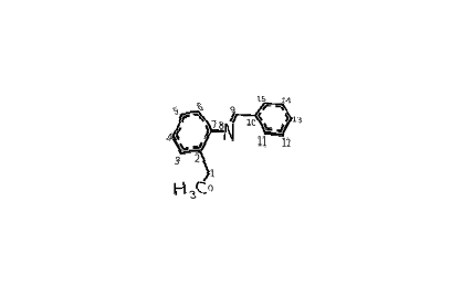 CCc1ccccc1/N=C/c1ccccc1